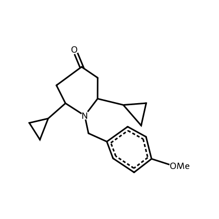 COc1ccc(CN2C(C3CC3)CC(=O)CC2C2CC2)cc1